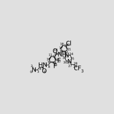 CN(C)CCC(=O)NCc1ccc(C(=O)Nc2ccc(Cl)cc2N2CCN(CCC(F)(F)F)CC2)c(F)c1F